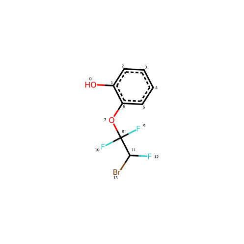 Oc1ccccc1OC(F)(F)C(F)Br